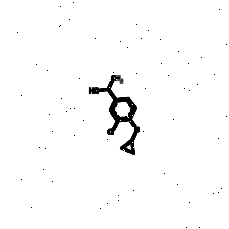 CC(O)c1ccc(OC2CC2)c(Cl)c1